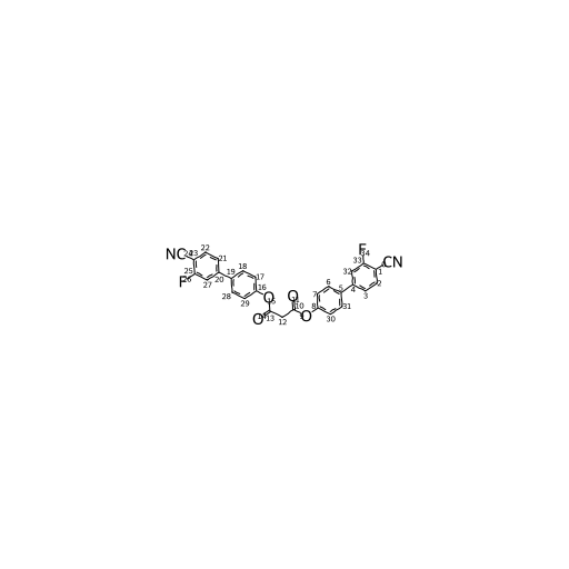 N#Cc1ccc(-c2ccc(OC(=O)CC(=O)Oc3ccc(-c4ccc(C#N)c(F)c4)cc3)cc2)cc1F